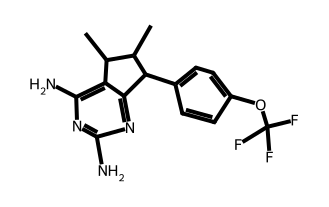 CC1c2c(N)nc(N)nc2C(c2ccc(OC(F)(F)F)cc2)C1C